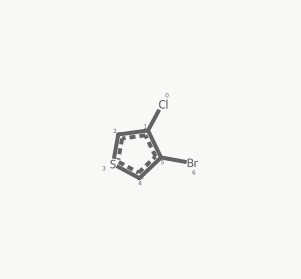 Clc1cs[c]c1Br